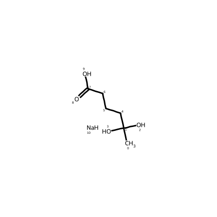 CC(O)(O)CCCC(=O)O.[NaH]